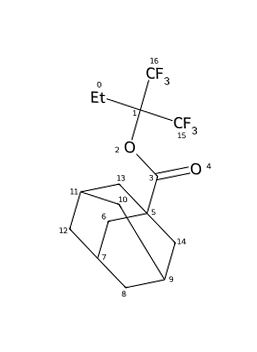 CCC(OC(=O)C12CC3CC(CC(C3)C1)C2)(C(F)(F)F)C(F)(F)F